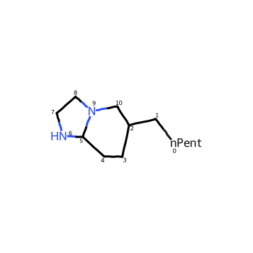 CCCCCCC1CCC2NCCN2C1